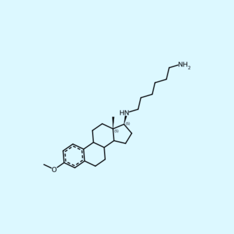 COc1ccc2c(c1)CCC1C2CC[C@@]2(C)C1CC[C@@H]2NCCCCCCN